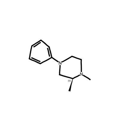 C[C@H]1CN(c2ccccc2)CCN1C